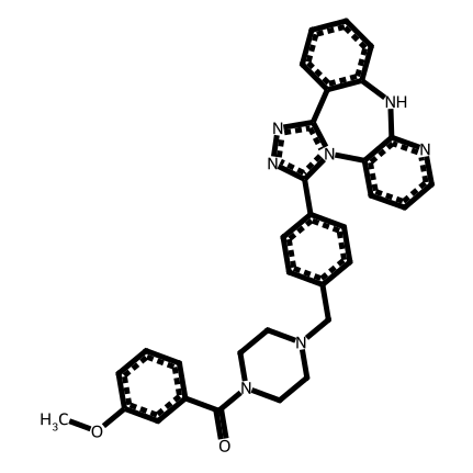 COc1cccc(C(=O)N2CCN(Cc3ccc(-c4nnc5n4-c4cccnc4Nc4ccccc4-5)cc3)CC2)c1